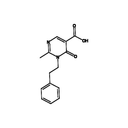 Cc1ncc(C(=O)O)c(=O)n1CCc1ccccc1